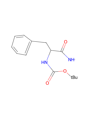 CC(C)(C)OC(=O)NC(Cc1ccccc1)C([NH])=O